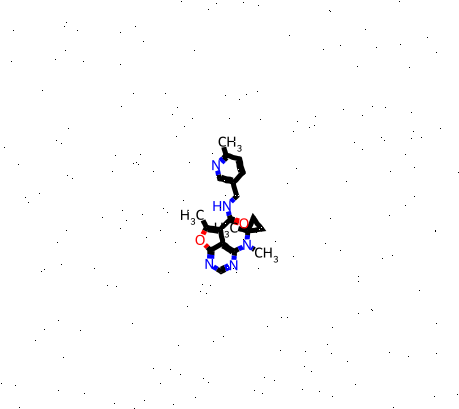 Cc1ccc(CNC(=O)c2c(C)oc3ncnc(N(C)C4(C)CC4)c23)cn1